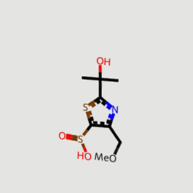 COCc1nc(C(C)(C)O)sc1S(=O)O